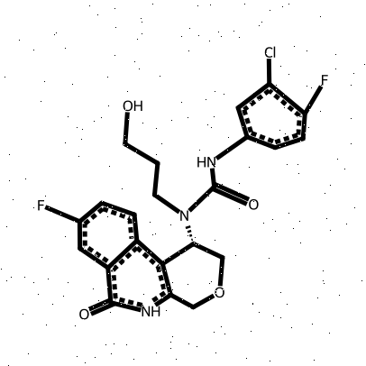 O=C(Nc1ccc(F)c(Cl)c1)N(CCCO)[C@@H]1COCc2[nH]c(=O)c3cc(F)ccc3c21